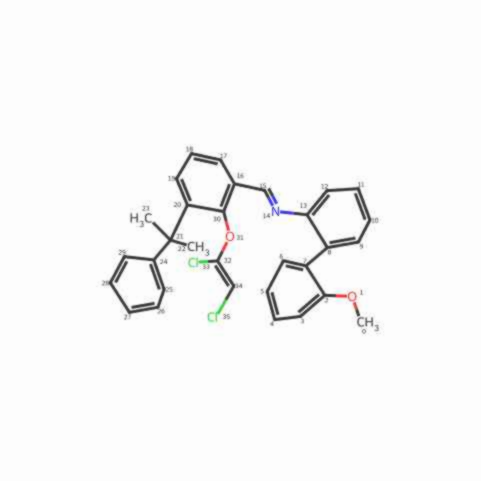 COc1ccccc1-c1ccccc1/N=C/c1cccc(C(C)(C)c2ccccc2)c1O/C(Cl)=C/Cl